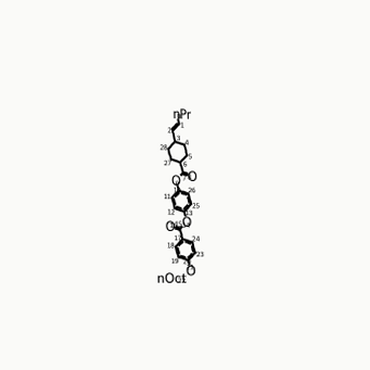 CCC/C=C/C1CCC(C(=O)Oc2ccc(OC(=O)c3ccc(OCCCCCCCC)cc3)cc2)CC1